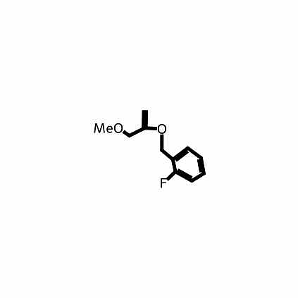 C=C(COC)OCc1ccccc1F